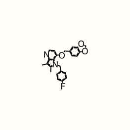 Cc1c(C)n(Cc2ccc(F)cc2)c2c(OCc3ccc4c(c3)OCO4)ccnc12